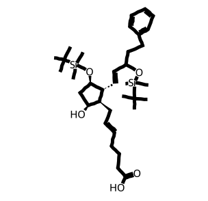 CC(C)(C)[Si](C)(C)OC(C=C[C@@H]1[C@@H](CC=CCCCC(=O)O)[C@@H](O)C[C@H]1O[Si](C)(C)C(C)(C)C)CCc1ccccc1